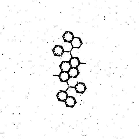 Cc1cc(N(c2ccccn2)c2cccc3ccccc23)c2ccc3c(C)cc(N(c4ccccn4)C4CC=Cc5ccccc54)c4ccc1c2c34